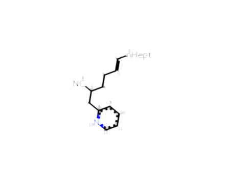 CCCCCCCC=CCCC(C#N)Cc1ccccn1